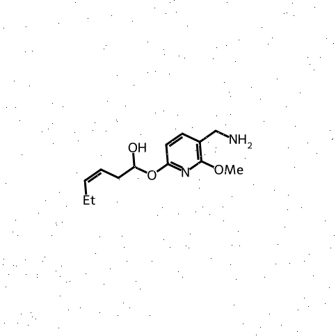 CC/C=C\CC(O)Oc1ccc(CN)c(OC)n1